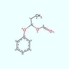 CCC(O[C]=O)Oc1ccccc1